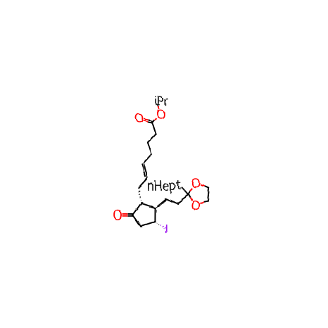 CCCCCCCC1(CC[C@H]2[C@H](I)CC(=O)[C@@H]2CC=CCCCC(=O)OC(C)C)OCCO1